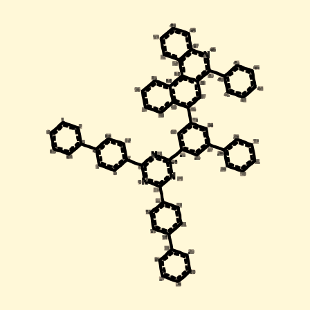 c1ccc(-c2ccc(-c3nc(-c4ccc(-c5ccccc5)cc4)nc(-c4cc(-c5ccccc5)cc(-c5cc6c(-c7ccccc7)nc7ccccc7c6c6ccccc56)c4)n3)cc2)cc1